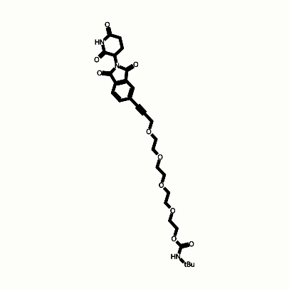 CC(C)(C)NC(=O)OCCOCCOCCOCCOCC#Cc1ccc2c(c1)C(=O)N(C1CCC(=O)NC1=O)C2=O